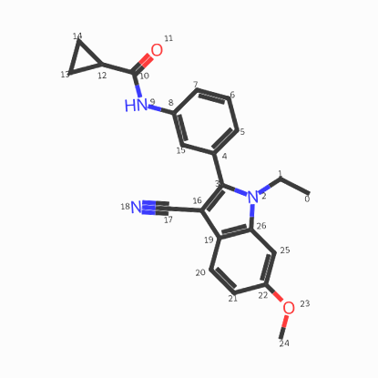 CCn1c(-c2cccc(NC(=O)C3CC3)c2)c(C#N)c2ccc(OC)cc21